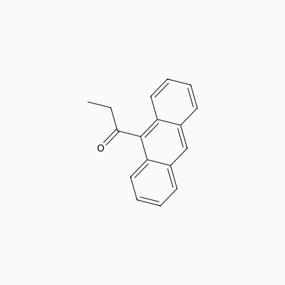 CCC(=O)c1c2ccccc2cc2ccccc12